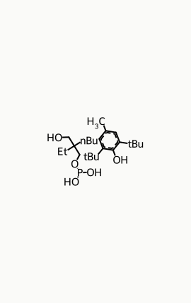 CCCCC(CC)(CO)COP(O)O.Cc1cc(C(C)(C)C)c(O)c(C(C)(C)C)c1